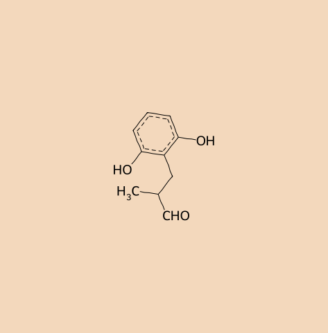 CC(C=O)Cc1c(O)cccc1O